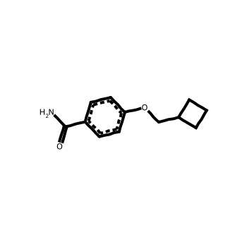 NC(=O)c1ccc(OCC2CCC2)cc1